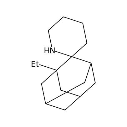 CCC12CC3CC(CC(C3)C13CCCCN3)C2